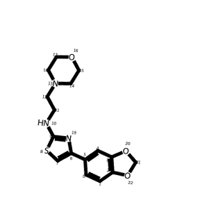 c1cc2c(cc1-c1csc(NCCN3CCOCC3)n1)OCO2